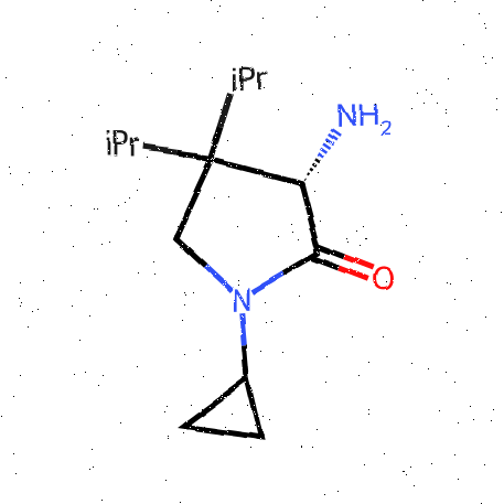 CC(C)C1(C(C)C)CN(C2CC2)C(=O)[C@H]1N